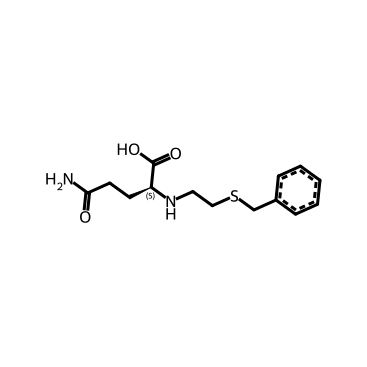 NC(=O)CC[C@H](NCCSCc1ccccc1)C(=O)O